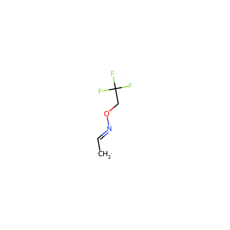 [CH2]C=NOCC(F)(F)F